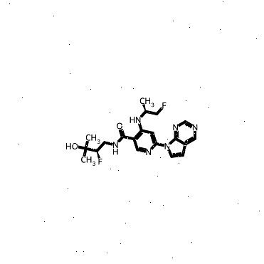 C[C@@H](CF)Nc1cc(-n2ccc3cncnc32)ncc1C(=O)NC[C@@H](F)C(C)(C)O